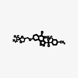 Cc1ccc(S(=O)(=O)c2nnn3c2[nH]c(=O)c2ccc(OCC4COC(C)(C)O4)cc23)c(C)c1